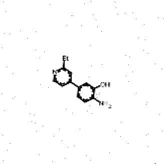 CCc1cc(-c2ccc(N)c(O)c2)ccn1